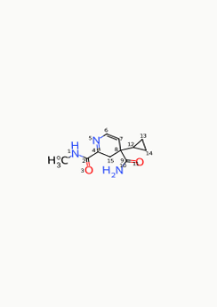 CNC(=O)C1=NC=CC(C(N)=O)(C2CC2)C1